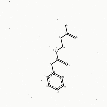 C=C(C)CCOC(=O)Cc1ccccc1